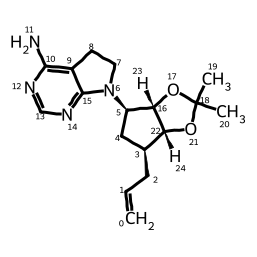 C=CC[C@H]1C[C@@H](N2CCc3c(N)ncnc32)[C@@H]2OC(C)(C)O[C@H]12